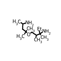 CCC(C)(N)C(C)COC(C)(C)CC(C)N